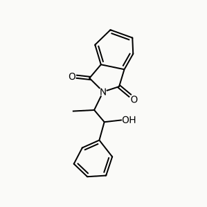 CC(C(O)c1ccccc1)N1C(=O)c2ccccc2C1=O